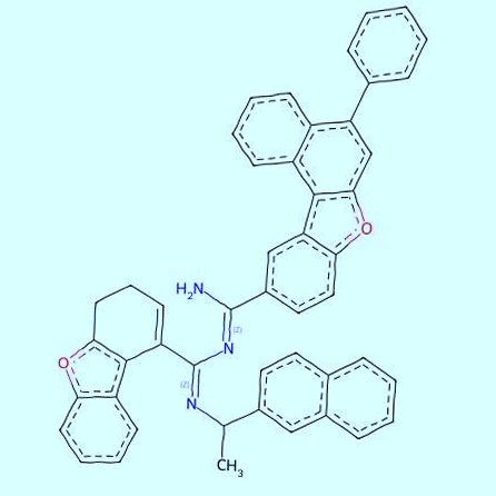 CC(/N=C(\N=C(/N)c1ccc2oc3cc(-c4ccccc4)c4ccccc4c3c2c1)C1=CCCc2oc3ccccc3c21)c1ccc2ccccc2c1